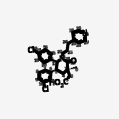 C[C@]1(CC(=O)O)C[C@H](c2cccc(Cl)c2)[C@@H](c2ccc(Cl)cc2)N(CCCc2ccncc2)C1=O